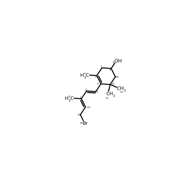 CC(C=CC1=C(C)CC(O)CC1(C)C)=CCBr